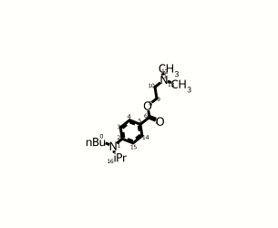 CCCCN(c1ccc(C(=O)OCCN(C)C)cc1)C(C)C